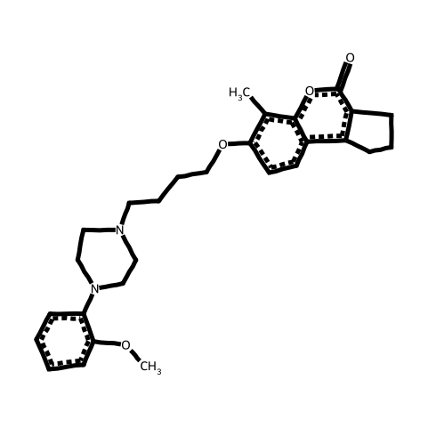 COc1ccccc1N1CCN(CCCCOc2ccc3c4c(c(=O)oc3c2C)CCC4)CC1